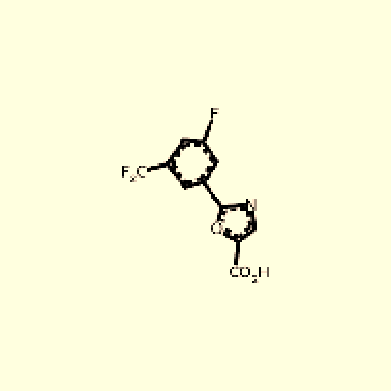 O=C(O)c1cnc(-c2cc(F)cc(C(F)(F)F)c2)o1